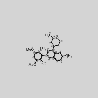 CCc1c(OC)cc(OC)c(C)c1-c1cc2cnc(N)nc2c(N2CCOC(C)C2)n1